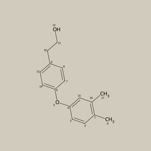 Cc1ccc(Oc2ccc(CCO)cc2)cc1C